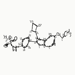 CCOc1ccc2cc(-c3ccc(NS(C)(=O)=O)cc3)n(C3CCC3)c2c1